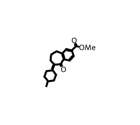 COC(=O)c1ccc2c(c1)CCCC(=C1CCC(C)CC1)C2=O